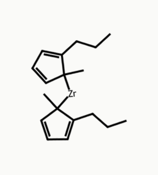 CCCC1=CC=C[C]1(C)[Zr][C]1(C)C=CC=C1CCC